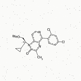 COC[C@H](C1CC1)n1c(=O)c(C)nc2c(-c3ccc(Cl)cc3Cl)nccc21